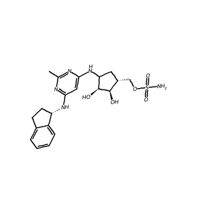 Cc1nc(NC2C[C@H](COS(N)(=O)=O)[C@@H](O)[C@H]2O)cc(N[C@H]2CCc3ccccc32)n1